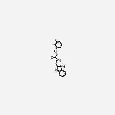 Cc1cccc(OCC(=O)NCc2nc3ccccc3[nH]2)c1C